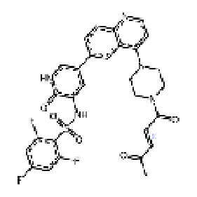 CC(=O)/C=C/C(=O)N1CCN(c2ccnc3ccc(-c4c[nH]c(=O)c(NS(=O)(=O)c5c(F)cc(F)cc5F)c4)cc23)CC1